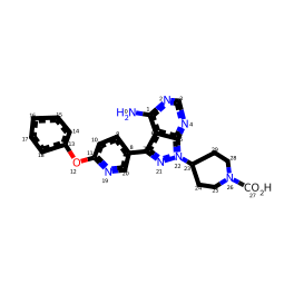 Nc1ncnc2c1c(-c1ccc(Oc3ccccc3)nc1)nn2C1CCN(C(=O)O)CC1